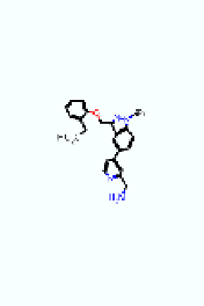 CC(C)n1nc(COc2ccccc2CC(=O)O)c2cc(-c3ccnc(CN)c3)ccc21